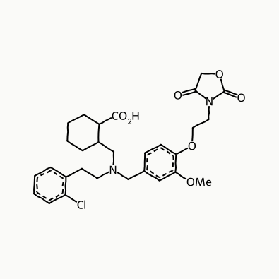 COc1cc(CN(CCc2ccccc2Cl)CC2CCCCC2C(=O)O)ccc1OCCN1C(=O)COC1=O